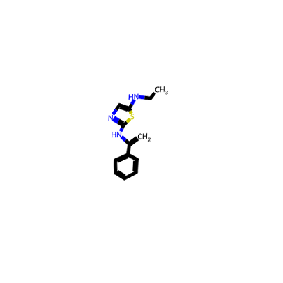 C=C(Nc1ncc(NCC)s1)c1ccccc1